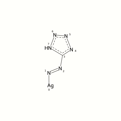 [Ag][N]=Nc1nnn[nH]1